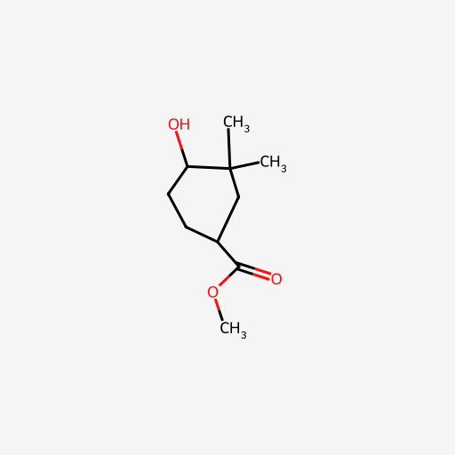 COC(=O)C1CCC(O)C(C)(C)C1